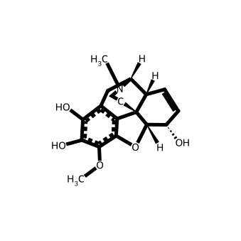 COc1c(O)c(O)c2c3c1O[C@H]1[C@@H](O)C=C[C@H]4[C@@H](C2)N(C)CC[C@@]341